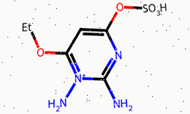 CCOc1cc(OS(=O)(=O)O)nc(N)[n+]1N